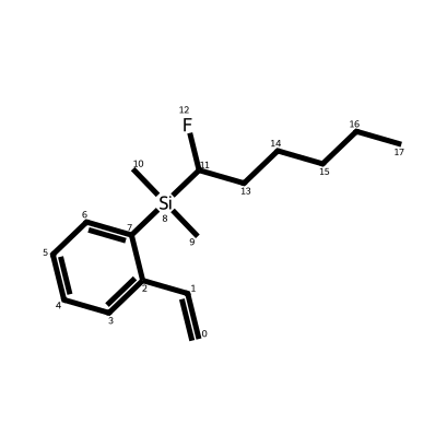 C=Cc1ccccc1[Si](C)(C)C(F)CCCCC